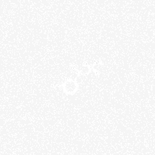 NS(=O)(=O)C[C@@H](O)c1cccc(Cl)n1